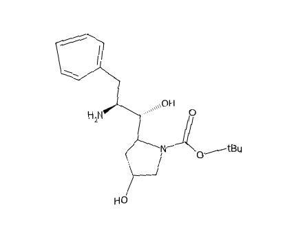 CC(C)(C)OC(=O)N1CC(O)CC1[C@@H](O)[C@@H](N)Cc1ccccc1